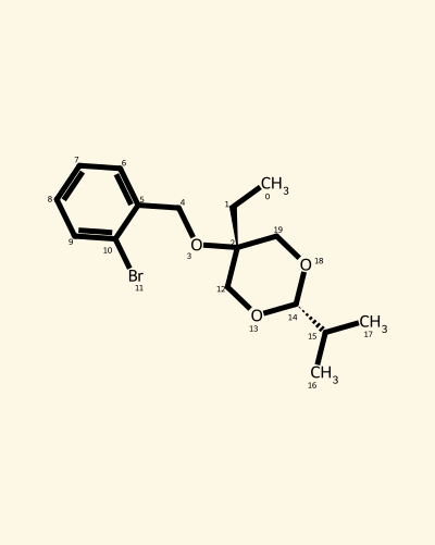 CC[C@]1(OCc2ccccc2Br)CO[C@@H](C(C)C)OC1